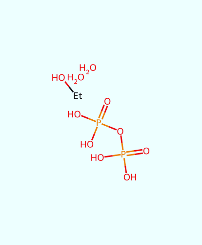 CCO.O.O.O=P(O)(O)OP(=O)(O)O